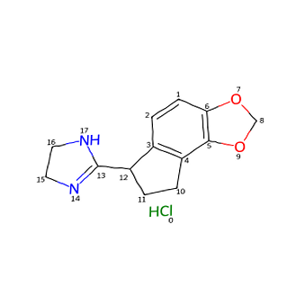 Cl.c1cc2c(c3c1OCO3)CCC2C1=NCCN1